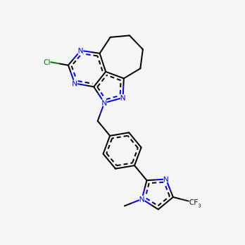 Cn1cc(C(F)(F)F)nc1-c1ccc(Cn2nc3c4c(nc(Cl)nc42)CCCC3)cc1